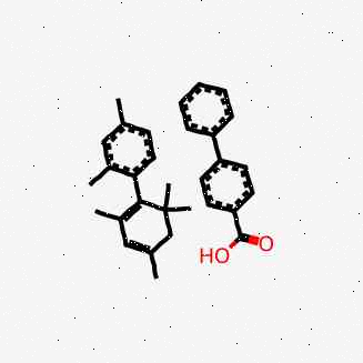 CC1=CC(C)=C(c2ccc(C)cc2C)C(C)(C)C1.O=C(O)c1ccc(-c2ccccc2)cc1